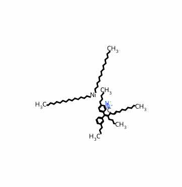 CCCCCCCC=CC(=C=[N+]=[N-])C(CCCC)=C(c1ccc(CCCCC)cc1)c1cccc(CCCC)c1.CCCCCCCCCCCCCCC[CH2][Ni][CH2]CCCCCCCCCCCCCCC